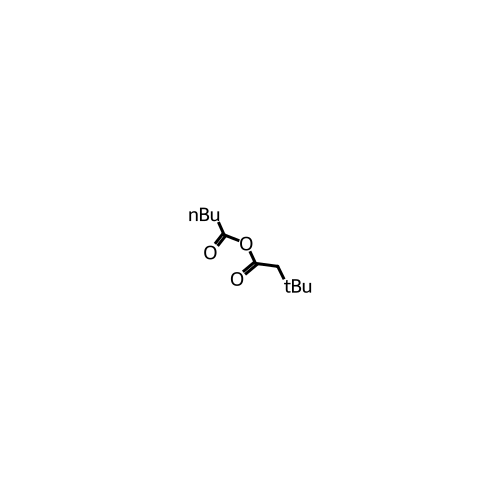 CCCCC(=O)OC(=O)CC(C)(C)C